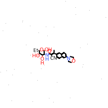 CC[C@H]1OC(O)[C@H](NC(=O)/C(C#N)=C(\C)c2ccc3cc(N4CCOCC4)ccc3c2)[C@@H](O)[C@@H]1O